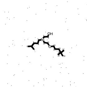 CC(C)CCCN(CCO)CCOCCCC(C)(C)C